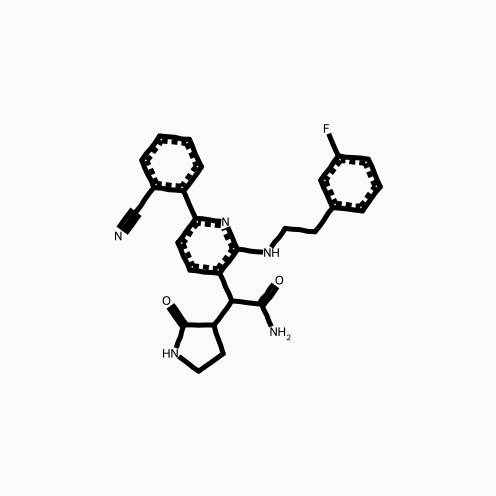 N#Cc1ccccc1-c1ccc(C(C(N)=O)C2CCNC2=O)c(NCCc2cccc(F)c2)n1